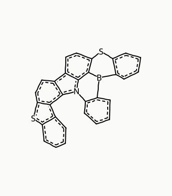 c1ccc2c(c1)Sc1ccc3c4ccc5sc6ccccc6c5c4n4c3c1B2c1ccccc1-4